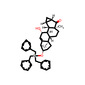 C[C@]12CC[C@H](O[Si](Cc3ccccc3)(Cc3ccccc3)Cc3ccccc3)CC1=C[C@H](O)[C@H]1[C@@H]3[C@@H]4C[C@@H]4C(=O)[C@@]3(C)CC[C@@H]12